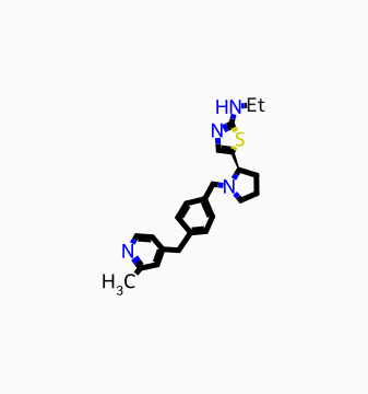 CCNc1ncc([C@H]2CCCN2Cc2ccc(Cc3ccnc(C)c3)cc2)s1